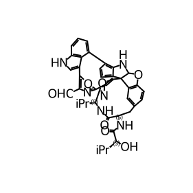 CC(C)[C@H](O)C(=O)N[C@H]1Cc2ccc3c(c2)C24c5cccc(c5NC2O3)-c2cccc3[nH]cc(c23)-c2oc(nc2C=O)-c2nc(oc24)[C@H](C(C)C)NC1=O